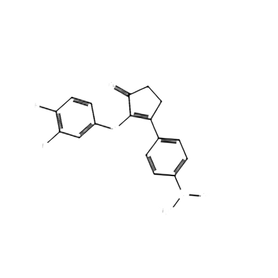 C[S+]([O-])c1ccc(C2=C(Oc3ccc(F)c(F)c3)C(=O)CC2)cc1